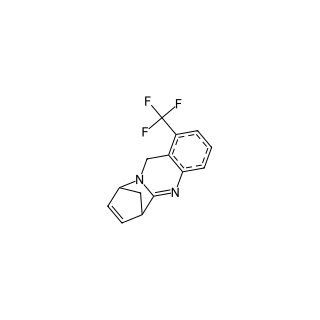 FC(F)(F)c1cccc2c1CN1C(=N2)C2C=CC1C2